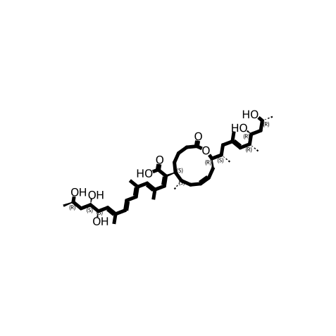 CC(=CC=CC(C)=C[C@H](O)[C@@H](O)C[C@@H](C)O)C=C(C)C=C(C(=O)O)[C@H]1CCCC(=O)O[C@@H]([C@@H](C)CC(C)=C[C@@H](C)[C@H](O)C[C@@H](C)O)CC=CC[C@@H]1C